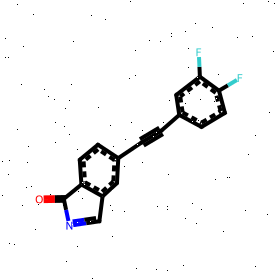 O=C1N=Cc2cc(C#Cc3ccc(F)c(F)c3)ccc21